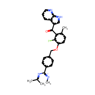 C/N=C(\N=C(C)C)c1ccc(COc2ccc(C)c(C(=O)c3c[nH]c4ncccc34)c2F)cc1